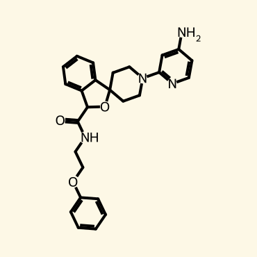 Nc1ccnc(N2CCC3(CC2)OC(C(=O)NCCOc2ccccc2)c2ccccc23)c1